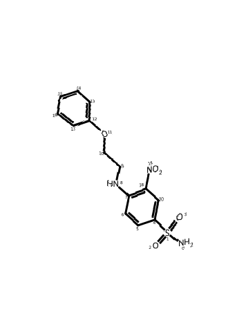 NS(=O)(=O)c1ccc(NCCOc2ccccc2)c([N+](=O)[O-])c1